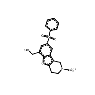 O=C(O)N1CCc2oc3c(CO)cc(S(=O)(=O)c4ccccc4)cc3c2C1